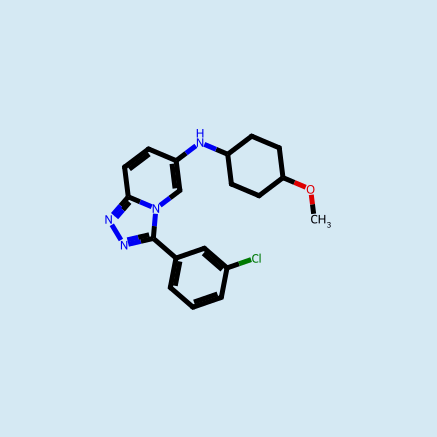 COC1CCC(Nc2ccc3nnc(-c4cccc(Cl)c4)n3c2)CC1